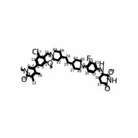 COc1cc(-c2cn(C)c(=O)c(C)c2C)cc(Cl)c1CN1CCC(CCC2CCN(c3ccc(NC4CCC(=O)NC4=O)cc3F)CC2)CC1